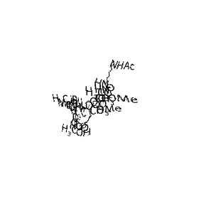 CC[C@H](C)[C@@H](O)[C@@H](C)/C=C\CC[C@@H]1C[C@H](OC)C/C=C(\C)[C@@H](O[C@H]2C[C@H](OC)[C@@H](O[C@H]3C[C@H](OC)[C@H](ONC(=O)NCCCCCCNC(C)=O)[C@H](C)O3)[C@H](C)O2)[C@@H](C)/C=C/C=C2\COC3[C@H](O)C(C)=CC(C(=O)O1)C23O